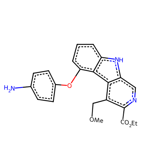 CCOC(=O)c1ncc2[nH]c3cccc(Oc4ccc(N)cc4)c3c2c1COC